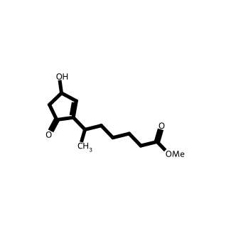 COC(=O)CCCCC(C)C1=CC(O)CC1=O